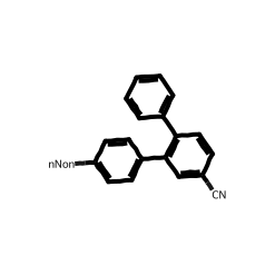 CCCCCCCCCc1ccc(-c2cc(C#N)ccc2-c2ccccc2)cc1